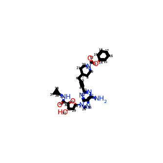 Nc1nc(C#CCC2CCN(C(=O)Oc3ccccc3)CC2)nc2c1ncn2[C@H]1CC(O)[C@@H](C(=O)NC2CC2)O1